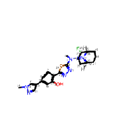 CN(c1nnc(-c2ccc(-c3cnn(C)c3)cc2O)s1)[C@H]1C[C@@H]2CCC[C@@H](N2)[C@H]1F